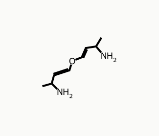 CC(N)C=COC=CC(C)N